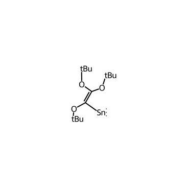 CC(C)(C)O[C]([Sn])=C(OC(C)(C)C)OC(C)(C)C